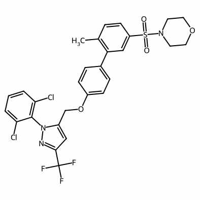 Cc1ccc(S(=O)(=O)N2CCOCC2)cc1-c1ccc(OCc2cc(C(F)(F)F)nn2-c2c(Cl)cccc2Cl)cc1